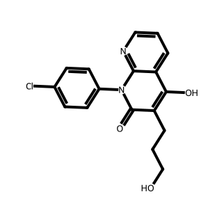 O=c1c(CCCO)c(O)c2cccnc2n1-c1ccc(Cl)cc1